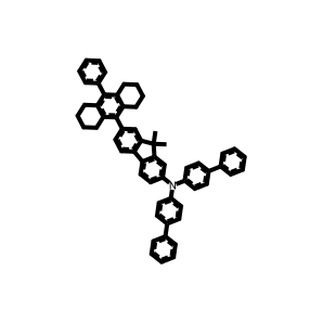 CC1(C)c2cc(-c3c4c(c(-c5ccccc5)c5c3CCCC5)CCCC4)ccc2-c2ccc(N(c3ccc(-c4ccccc4)cc3)c3ccc(-c4ccccc4)cc3)cc21